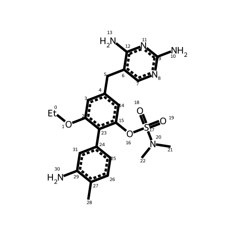 CCOc1cc(Cc2cnc(N)nc2N)cc(OS(=O)(=O)N(C)C)c1-c1ccc(C)c(N)c1